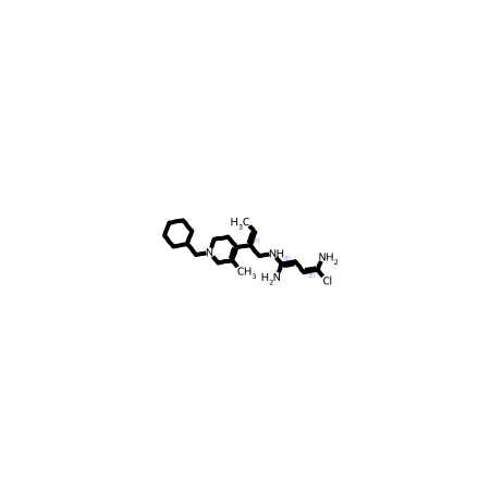 C/C=C(/CN/C(N)=C/C=C(\N)Cl)C1=C(C)CN(CC2CCCCC2)CC1